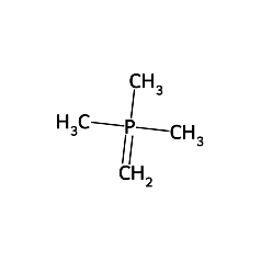 C=P(C)(C)C